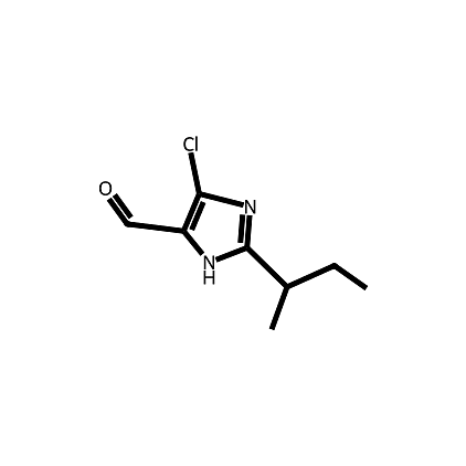 CCC(C)c1nc(Cl)c(C=O)[nH]1